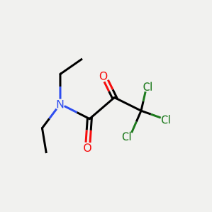 CCN(CC)C(=O)C(=O)C(Cl)(Cl)Cl